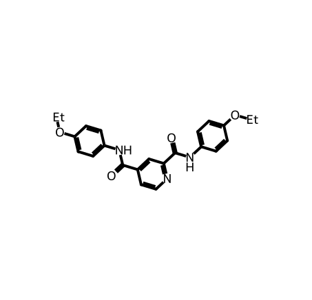 CCOc1ccc(NC(=O)c2ccnc(C(=O)Nc3ccc(OCC)cc3)c2)cc1